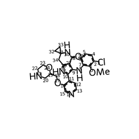 COc1c(Cl)cccc1Nc1c(-c2ccncc2OCC2CNCCO2)[nH]c2c1C(=O)NC1(CC1)C2